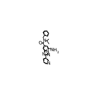 CC(C)N(Cc1ccccc1)C(=O)c1cc(N)n2nc(-c3cccnc3)nc2c1